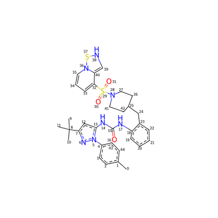 Cc1ccc(-n2nc(C(C)(C)C)cc2NC(=O)Nc2ccccc2CC2CCN(S(=O)(=O)C3=CC=CN4SNC=C34)CC2)cc1